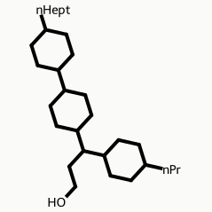 CCCCCCCC1CCC(C2CCC(C(CCO)C3CCC(CCC)CC3)CC2)CC1